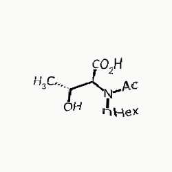 CCCCCCN(C(C)=O)[C@H](C(=O)O)[C@@H](C)O